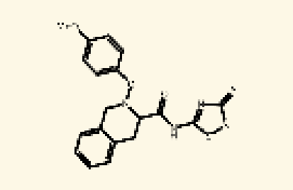 COc1ccc(ON2Cc3ccccc3CC2C(=O)Nc2nc(=S)ss2)cc1